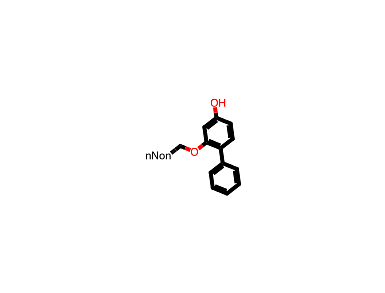 CCCCCCCCCCOc1cc(O)ccc1-c1ccccc1